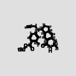 C#CCN(c1ccc(C(=O)OC(C)(C)C)c(F)c1)[C@H]1CCc2cc3nc(C)[nH]c(=O)c3cc21